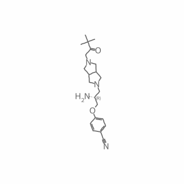 CC(C)(C)C(=O)CN1CC2CN(C[C@@H](N)COc3ccc(C#N)cc3)CC2C1